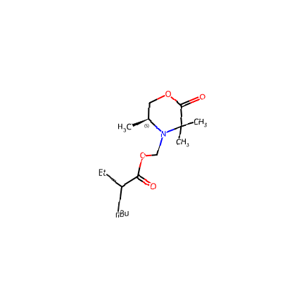 CCCCC(CC)C(=O)OCN1[C@@H](C)COC(=O)C1(C)C